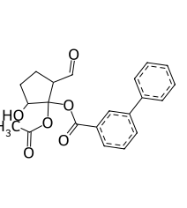 CC(=O)OC1(OC(=O)c2cccc(-c3ccccc3)c2)C(O)CCC1C=O